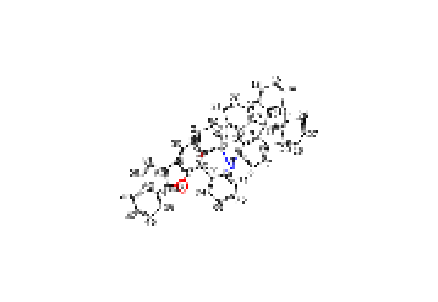 c1ccc(N(c2ccc3c(c2)C(c2ccccc2)(c2ccccc2)c2ccccc2-3)c2ccccc2-c2cccc3c2oc2c4ccccc4ccc32)cc1